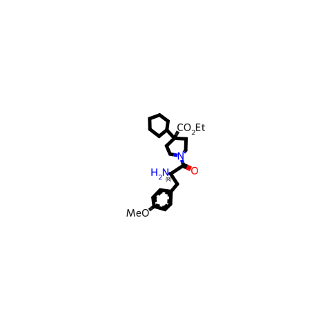 CCOC(=O)C1(C2CCCCC2)CCN(C(=O)[C@H](N)Cc2ccc(OC)cc2)CC1